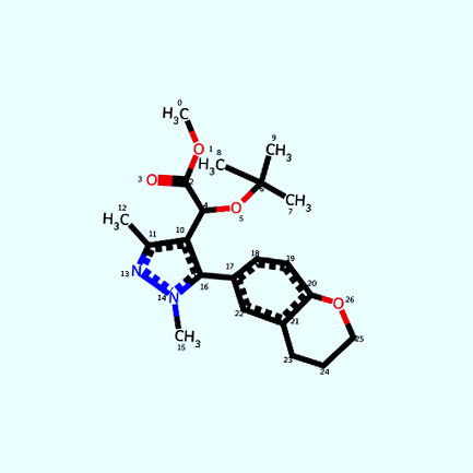 COC(=O)C(OC(C)(C)C)c1c(C)nn(C)c1-c1ccc2c(c1)CCCO2